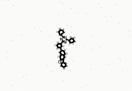 c1ccc(-c2nc(-c3ccccc3)nc(-c3cccc(-c4ccc5cc6c(cc5c4)oc4ccccc46)c3)n2)cc1